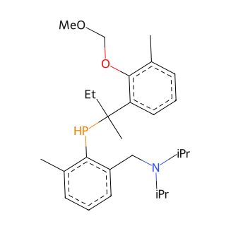 CCC(C)(Pc1c(C)cccc1CN(C(C)C)C(C)C)c1cccc(C)c1OCOC